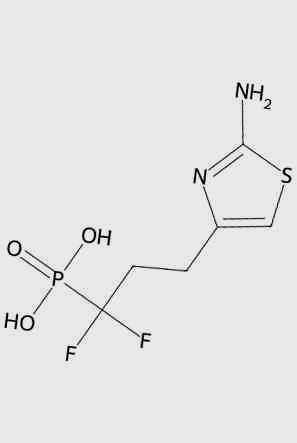 Nc1nc(CCC(F)(F)P(=O)(O)O)cs1